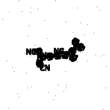 N#Cc1cccc(-c2cc(-c3ccc(-c4ccc(-c5ccc(-n6c7ccccc7c7cc(-n8c9ccccc9c9ccccc98)ccc76)cc5C#N)cc4)cc3)nc(-c3cccc(C#N)c3)n2)c1